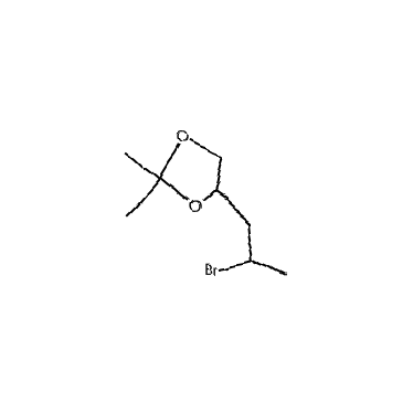 CC(Br)CC1COC(C)(C)O1